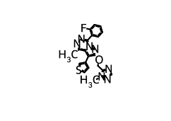 Cc1nnc(-c2ccccc2F)n2nc(OCc3ncnn3C)c(-c3ccsc3)c12